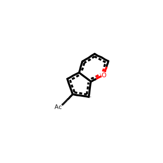 CC(=O)c1[c]c2occcc-2c1